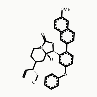 C=C[C@@H](CCl)[C@H]1CCN2C(=O)S[C@H](c3cc(Oc4ccccc4)ccc3-c3ccc4cc(OC)ccc4c3)[C@@H]2C1